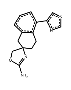 NC1=NC2(CCc3c(cccc3-c3cscn3)C2)CO1